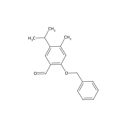 Cc1cc(OCc2ccccc2)c(C=O)cc1C(C)C